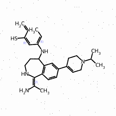 C=C/C(S)=C\C(=C/C)NC1CCN/C(=C(/C)N)c2ccc(C3=CCN(C(C)C)CC3)cc21